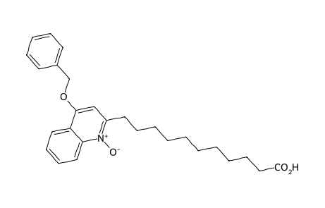 O=C(O)CCCCCCCCCCc1cc(OCc2ccccc2)c2ccccc2[n+]1[O-]